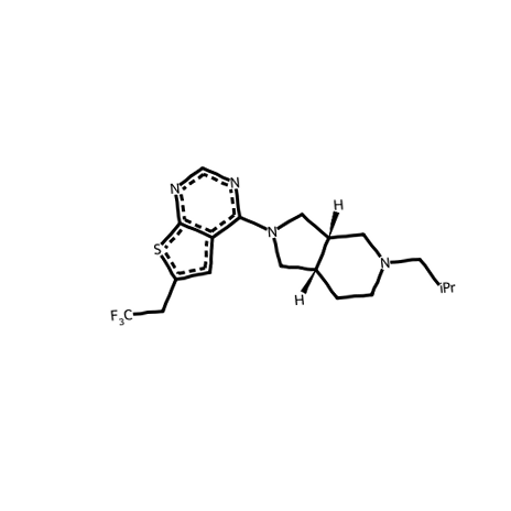 CC(C)CN1CC[C@@H]2CN(c3ncnc4sc(CC(F)(F)F)cc34)C[C@@H]2C1